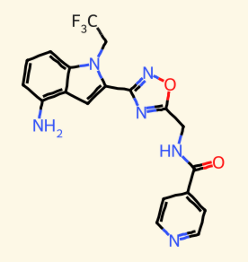 Nc1cccc2c1cc(-c1noc(CNC(=O)c3ccncc3)n1)n2CC(F)(F)F